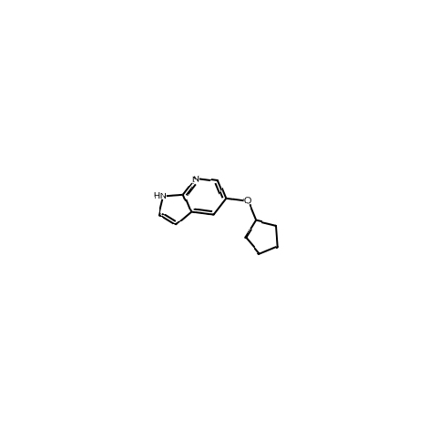 c1cc2cc(OC3CCCC3)cnc2[nH]1